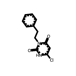 O=c1cc(Cl)[nH]c(=O)n1CCc1ccccc1